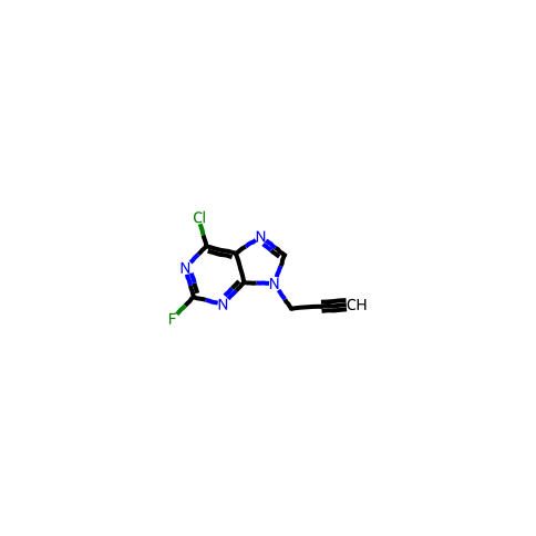 C#CCn1cnc2c(Cl)nc(F)nc21